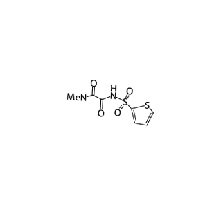 CNC(=O)C(=O)NS(=O)(=O)c1cccs1